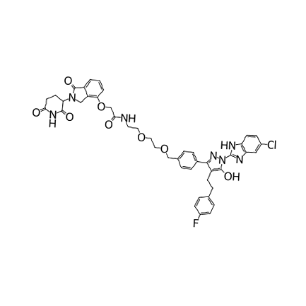 O=C(COc1cccc2c1CN(C1CCC(=O)NC1=O)C2=O)NCCOCCOCc1ccc(-c2nn(-c3nc4cc(Cl)ccc4[nH]3)c(O)c2CCc2ccc(F)cc2)cc1